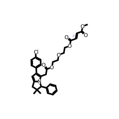 COC(=O)/C=C/C(=O)OCCOCCOC(=O)Cc1c(-c2ccc(Cl)cc2)cc2n1C(c1ccccc1)C(C)(C)C2